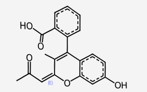 CC(=O)/C=C1/Oc2cc(O)ccc2C(c2ccccc2C(=O)O)=C1C